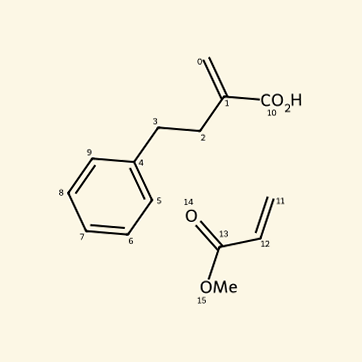 C=C(CCc1ccccc1)C(=O)O.C=CC(=O)OC